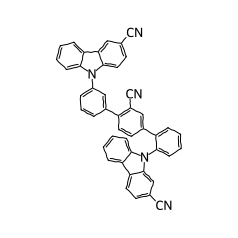 N#Cc1ccc2c(c1)c1ccccc1n2-c1cccc(-c2ccc(-c3ccccc3-n3c4ccccc4c4ccc(C#N)cc43)cc2C#N)c1